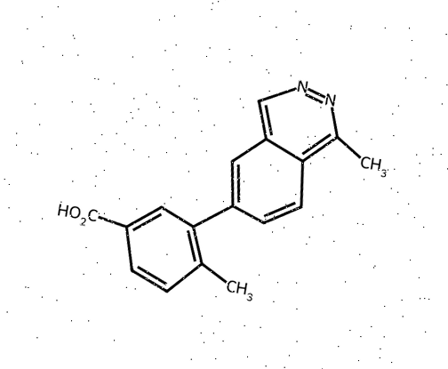 Cc1ccc(C(=O)O)cc1-c1ccc2c(C)nncc2c1